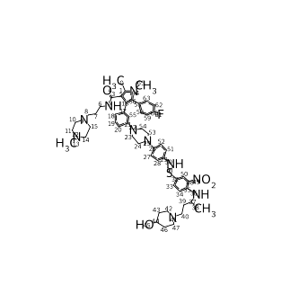 Cc1c(C(=O)NCCCN2CCN(C)CC2)c(-c2cccc(N3CCN(c4ccc(NSc5ccc(N[C@@H](C)CCN6CCC(O)CC6)c([N+](=O)[O-])c5)cc4)CC3)c2)c(-c2ccc(F)cc2)n1C